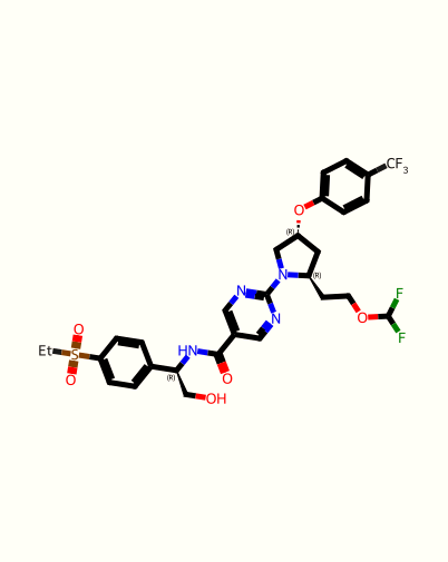 CCS(=O)(=O)c1ccc([C@H](CO)NC(=O)c2cnc(N3C[C@H](Oc4ccc(C(F)(F)F)cc4)C[C@H]3CCOC(F)F)nc2)cc1